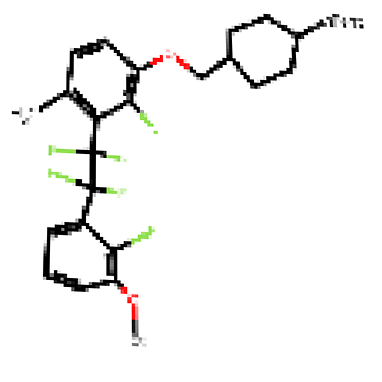 CCCCCC1CCC(COc2ccc(C)c(C(F)(F)C(F)(F)c3cccc(OCC)c3F)c2F)CC1